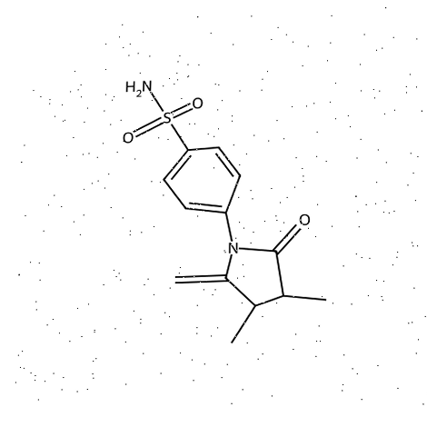 C=C1C(C)C(C)C(=O)N1c1ccc(S(N)(=O)=O)cc1